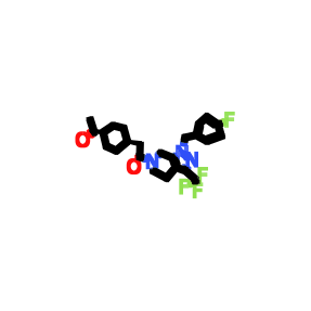 CC(=O)[C@H]1CC[C@@H](CC(=O)N2CCc3c(C(F)(F)F)nn(Cc4ccc(F)cc4)c3C2)CC1